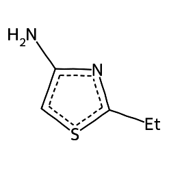 CCc1nc(N)cs1